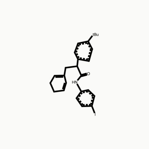 CC(C)(C)c1ccc(C(CC2=CCCC=C2)C(=O)Nc2ccc(I)cc2)cc1